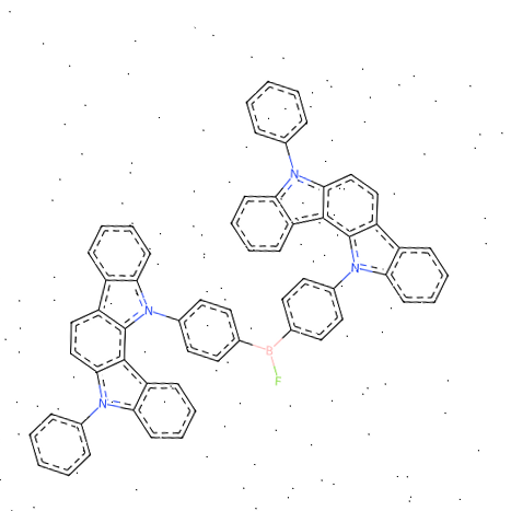 FB(c1ccc(-n2c3ccccc3c3ccc4c(c5ccccc5n4-c4ccccc4)c32)cc1)c1ccc(-n2c3ccccc3c3ccc4c(c5ccccc5n4-c4ccccc4)c32)cc1